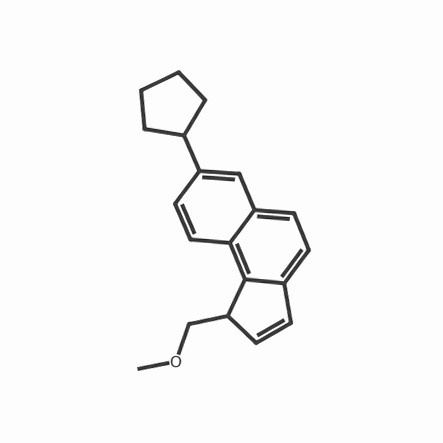 COCC1C=Cc2ccc3cc(C4CCCC4)ccc3c21